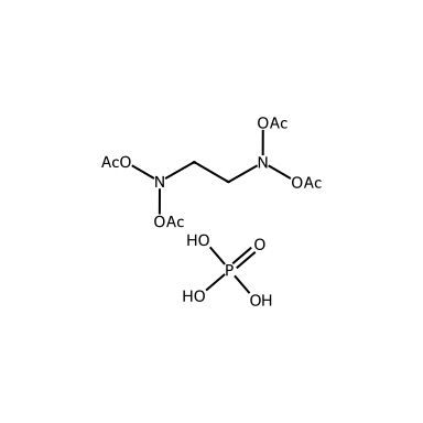 CC(=O)ON(CCN(OC(C)=O)OC(C)=O)OC(C)=O.O=P(O)(O)O